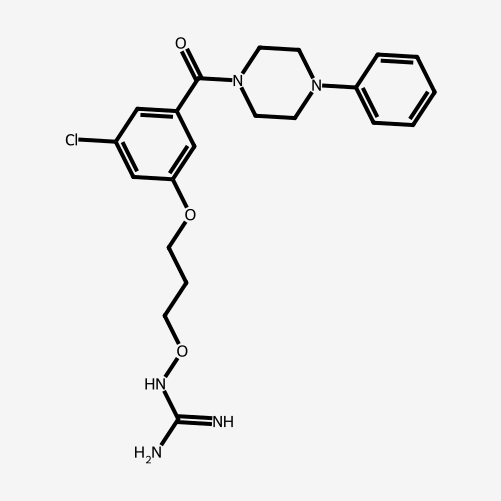 N=C(N)NOCCCOc1cc(Cl)cc(C(=O)N2CCN(c3ccccc3)CC2)c1